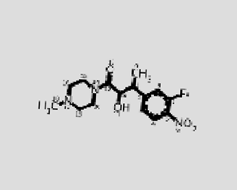 CC(c1ccc([N+](=O)[O-])c(F)c1)C(O)C(=O)N1CCN(C)CC1